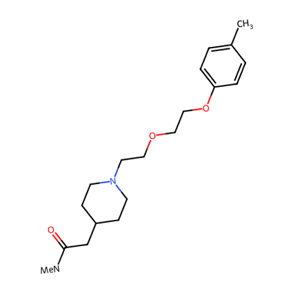 CNC(=O)CC1CCN(CCOCCOc2ccc(C)cc2)CC1